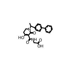 CC(c1ccc(-c2ccccc2)cc1)N1CCC(O)=C(C(=O)NCC(=O)O)C1=O